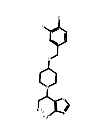 Cc1ncsc1C(CN)N1CCC(OCc2ccc(F)c(F)c2)CC1